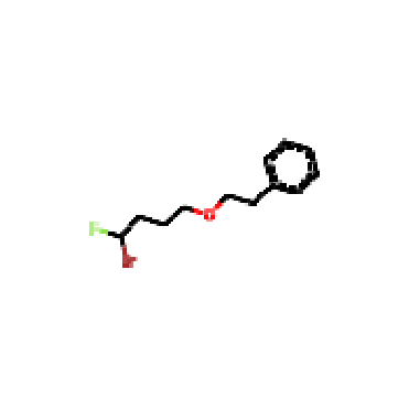 FC(Br)CCCOCCc1ccccc1